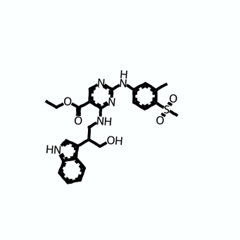 CCOC(=O)c1cnc(Nc2ccc(S(C)(=O)=O)c(C)c2)nc1NCC(CO)c1c[nH]c2ccccc12